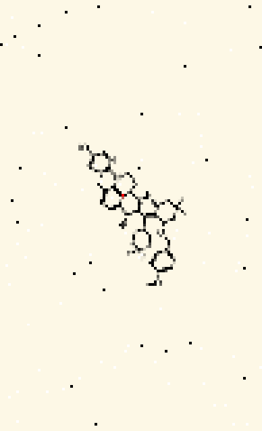 COc1ccc(CO[C@H]2CC(C)(C)Cc3nc(C4CCN(c5ncc(O)cn5)CC4)c([C@@H](F)c4ccc(C)cc4)c(C4CCC(F)(F)CC4)c32)cc1